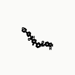 Cc1cc(C(=O)Nc2ccc(N3CCOCC3)cc2)ccc1-c1cccc(C(=O)Nc2ccc3cn[nH]c3c2)c1